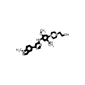 CNc1cc(Nc2cc(-c3ccc4c(cnn4C)c3)ncn2)c(OC)cc1N1CCN(CCO)CC1